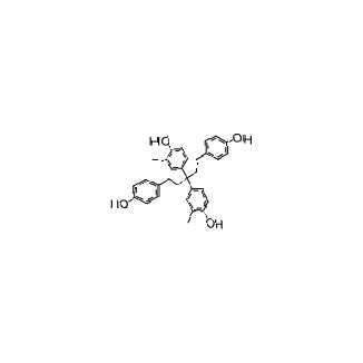 Cc1cc(C(CCc2ccc(O)cc2)(CCc2ccc(O)cc2)c2ccc(O)c(C)c2)ccc1O